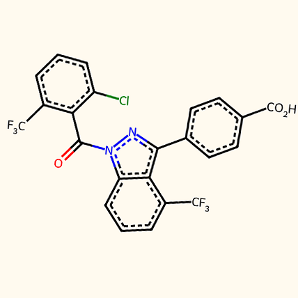 O=C(O)c1ccc(-c2nn(C(=O)c3c(Cl)cccc3C(F)(F)F)c3cccc(C(F)(F)F)c23)cc1